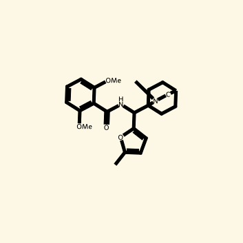 COc1cccc(OC)c1C(=O)NC(c1ccc(C)o1)C12CCC(CC1)CN2C